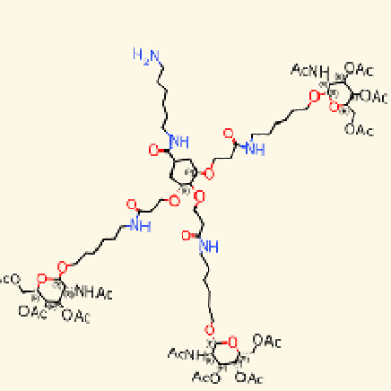 CC(=O)N[C@H]1[C@H](OCCCCCCNC(=O)CCOC2[C@H](OCCC(=O)NCCCCCCO[C@@H]3O[C@H](COC(C)=O)[C@H](OC(C)=O)[C@H](OC(C)=O)[C@H]3NC(C)=O)CC(C(=O)NCCCCCCN)C[C@H]2OCCC(=O)NCCCCCCO[C@@H]2O[C@H](COC(C)=O)[C@H](OC(C)=O)[C@H](OC(C)=O)[C@H]2NC(C)=O)O[C@H](COC(C)=O)[C@H](OC(C)=O)[C@@H]1OC(C)=O